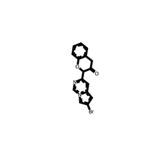 O=C1Cc2ccccc2OC1c1cc2cc(Br)cn2cn1